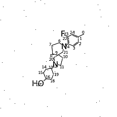 Cc1ccc(N2CCC[C@]3(CCN([C@H]4CC[C@H](O)CC4)C3)C2)c(F)c1